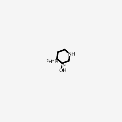 [2H][C@@H]1CCNC[C@H]1O